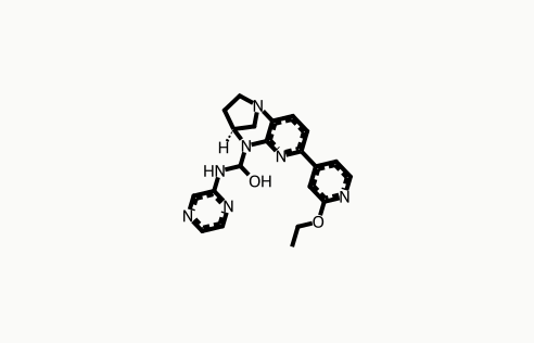 CCOc1cc(-c2ccc3c(n2)N(C(O)Nc2cnccn2)[C@H]2CCN3C2)ccn1